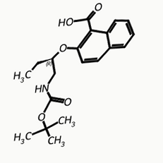 CC[C@H](CNC(=O)OC(C)(C)C)Oc1ccc2ccccc2c1C(=O)O